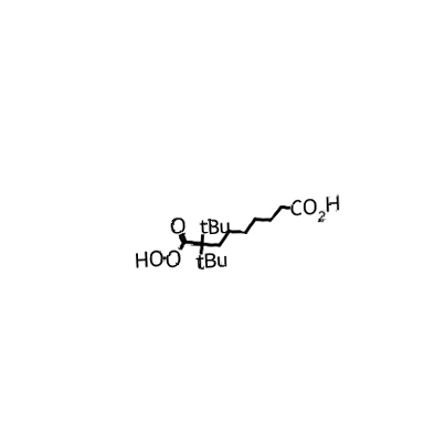 CC(C)(C)C(CCCCCCC(=O)O)(C(=O)OO)C(C)(C)C